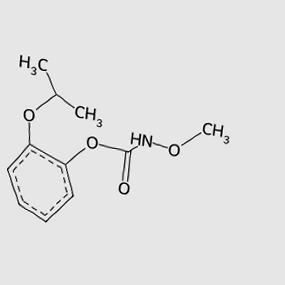 CONC(=O)Oc1ccccc1OC(C)C